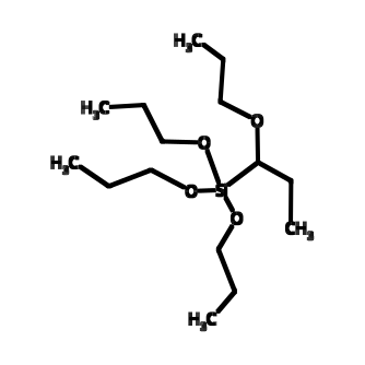 CCCOC(CC)[Si](OCCC)(OCCC)OCCC